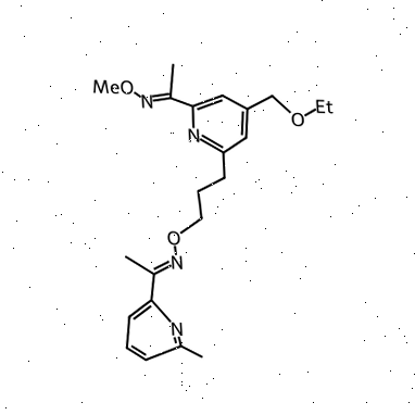 CCOCc1cc(CCCO/N=C(\C)c2cccc(C)n2)nc(/C(C)=N/OC)c1